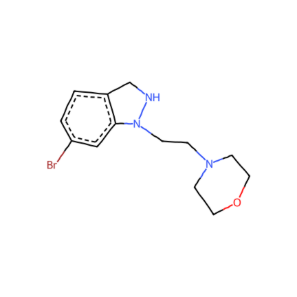 Brc1ccc2c(c1)N(CCN1CCOCC1)NC2